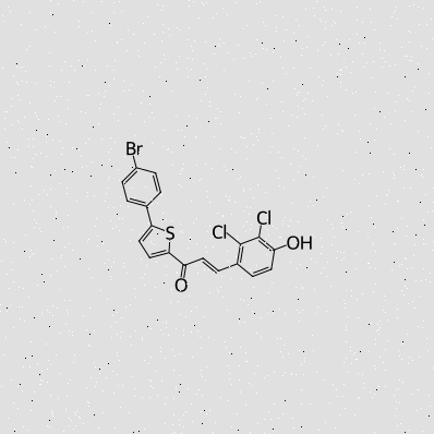 O=C(C=Cc1ccc(O)c(Cl)c1Cl)c1ccc(-c2ccc(Br)cc2)s1